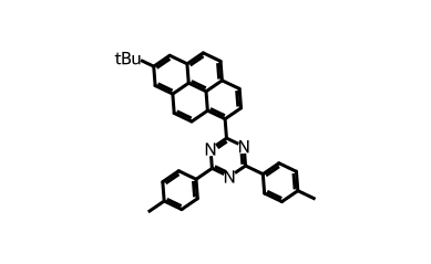 Cc1ccc(-c2nc(-c3ccc(C)cc3)nc(-c3ccc4ccc5cc(C(C)(C)C)cc6ccc3c4c56)n2)cc1